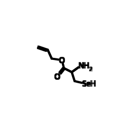 C=CCOC(=O)C(N)C[SeH]